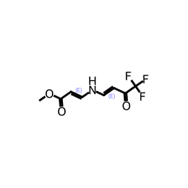 COC(=O)/C=C/N/C=C/C(=O)C(F)(F)F